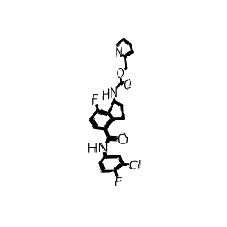 O=C(N[C@H]1CCc2c(C(=O)Nc3ccc(F)c(Cl)c3)ccc(F)c21)OCc1ccccn1